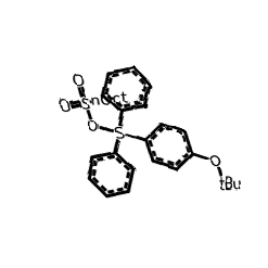 CCCCCCCCS(=O)(=O)OS(c1ccccc1)(c1ccccc1)c1ccc(OC(C)(C)C)cc1